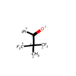 CC(C)C(=O)C(C)(C(F)(F)F)C(F)(F)F